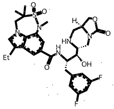 CCc1cn2c3c(cc(C(=O)N[C@@H](Cc4cc(F)cc(F)c4)[C@H](O)[C@H]4CN5C(=O)OC[C@@H]5CN4)cc13)N(C)S(=O)(=O)C(C)(C)C2